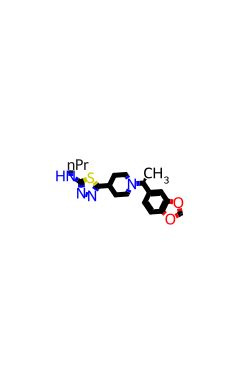 CCCNc1nnc(C2CCN([C@@H](C)c3ccc4c(c3)OCO4)CC2)s1